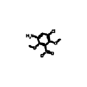 COc1c(N)cc(Cl)c(OC)c1[N+](=O)[O-]